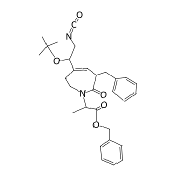 CC(C(=O)OCc1ccccc1)N1CCC(C(CN=C=O)OC(C)(C)C)=CC(Cc2ccccc2)C1=O